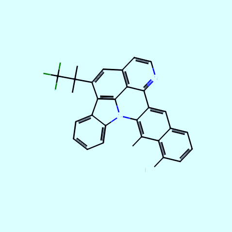 Cc1cccc2cc3c4nccc5cc(C(C)(C)C(F)(F)F)c6c7ccccc7n(c3c(C)c12)c6c54